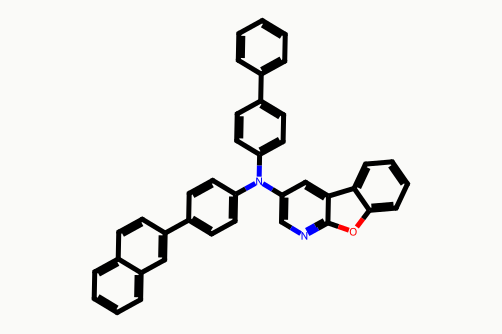 c1ccc(-c2ccc(N(c3ccc(-c4ccc5ccccc5c4)cc3)c3cnc4oc5ccccc5c4c3)cc2)cc1